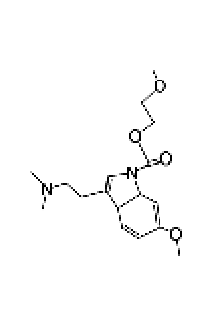 COCCOC(=O)N1C=C(CCN(C)C)C2C=CC(OC)=CC21